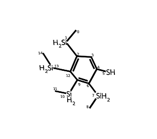 C[SiH2]c1cc(S)c([SiH2]C)c([SiH2]C)c1[SiH2]C